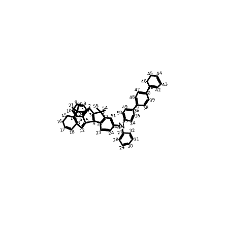 C/C1=C\C2=C(C(/c3ccccc3)=C/C3=C(CCC=C3)C1(C)C)c1ccc(N(c3ccccc3)c3ccc(-c4ccc(C5=CC=CCC5)cc4)cc3)cc1C2(C)C